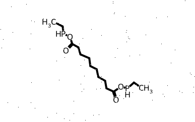 CCPOC(=O)CCCCCCCCC(=O)OPCC